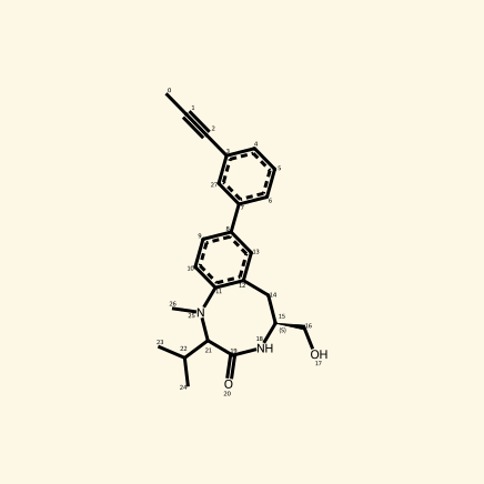 CC#Cc1cccc(-c2ccc3c(c2)C[C@@H](CO)NC(=O)C(C(C)C)N3C)c1